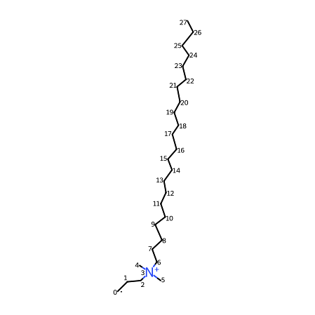 [CH2]CC[N+](C)(C)CCCCCCCCCCCCCCCCCCCCCC